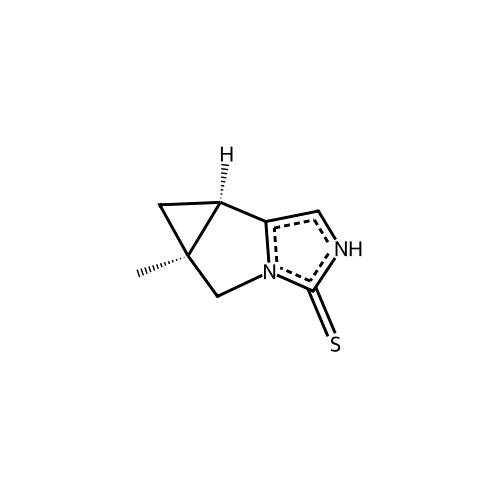 C[C@]12C[C@H]1c1c[nH]c(=S)n1C2